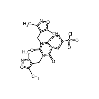 Cc1noc(C)c1Cn1c(=O)c2cc(S(=O)(=O)Cl)ccc2n(Cc2c(C)noc2C)c1=O